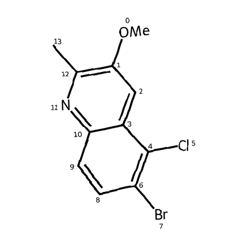 COc1cc2c(Cl)c(Br)ccc2nc1C